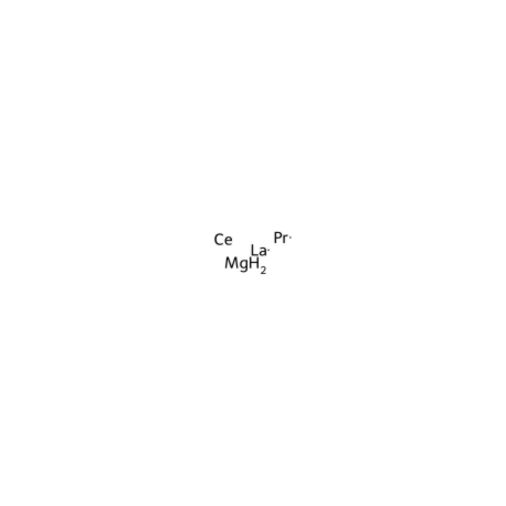 [Ce].[La].[MgH2].[Pr]